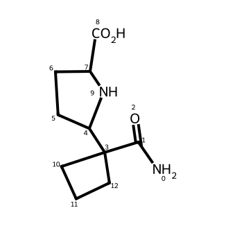 NC(=O)C1(C2CCC(C(=O)O)N2)CCC1